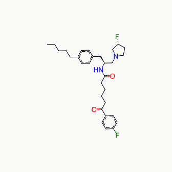 CCCCCc1ccc(C[C@@H](CN2CC[C@@H](F)C2)NC(=O)CCCCC(=O)c2ccc(F)cc2)cc1